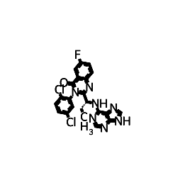 CC[C@@H](Nc1ncnc2[nH]cnc12)c1nc2ccc(F)cc2c(=O)n1-c1cc(Cl)ccc1Cl